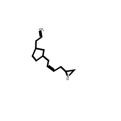 C=CCC1CCC(C/C=C\CC2CN2)C1